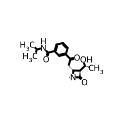 CC(C)NC(=O)c1cccc(C(=O)C[C@H]2[N]C(=O)[C@@H]2[C@@H](C)O)c1